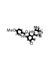 COc1ccc(C(=O)NC2=CC(Cl)=C(F)C([C@@H]3CS(=O)(=O)C(C)(C)C(=N)N3)C2C)nc1